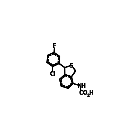 O=C(O)Nc1cccc2c1CSC2c1cc(F)ccc1Cl